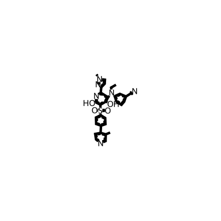 CCN(c1cccc(C#N)c1)c1c(-c2ccn(C)n2)nc(O)c(S(=O)(=O)c2ccc(-c3ccncc3C)cc2)c1O